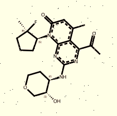 CC(=O)c1nc(N[C@@H]2CCOC[C@H]2O)nc2c1c(C)cc(=O)n2[C@H]1CCC[C@@]1(C)F